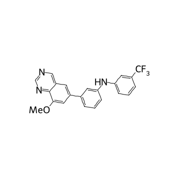 COc1cc(-c2cccc(Nc3cccc(C(F)(F)F)c3)c2)cc2cncnc12